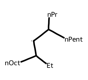 CCCCCCCCC([CH]C(CCC)CCCCC)CC